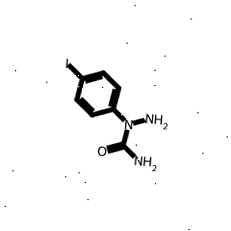 NC(=O)N(N)c1ccc(I)cc1